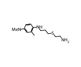 CNc1ccc(NCCCSCCN)c(C)c1